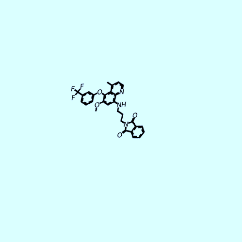 COc1cc(NCCCN2C(=O)c3ccccc3C2=O)c2nccc(C)c2c1Oc1cccc(C(F)(F)F)c1